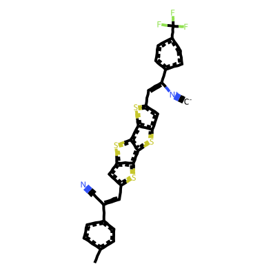 [C-]#[N+]/C(=C\c1cc2sc3c4sc(/C=C(\C#N)c5ccc(C)cc5)cc4sc3c2s1)c1ccc(C(F)(F)F)cc1